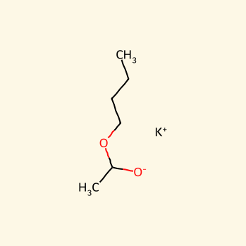 CCCCOC(C)[O-].[K+]